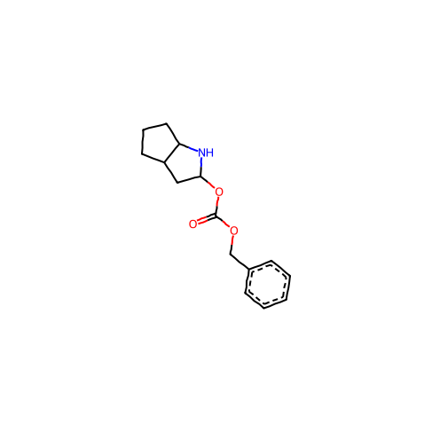 O=C(OCc1ccccc1)OC1CC2CCCC2N1